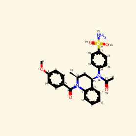 COc1ccc(C(=O)N2c3ccccc3[C@H](N(C(C)=O)c3ccc(S(N)(=O)=O)cc3)C[C@@H]2C)cc1